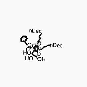 CCCCCCCCCCCCCCOC(=O)N(CCCCCCCCCCCCCC)[C@@H]1O[C@H](CO)[C@H](O)[C@H](O)[C@H]1NC(=O)OCc1ccccc1